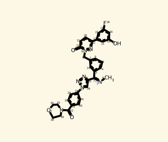 C/N=C(\c1cccc(Cn2nc(-c3cc(O)cc(F)c3)ccc2=O)c1)c1cn(-c2ccc(C(=O)N3CCOCC3)cc2)nn1